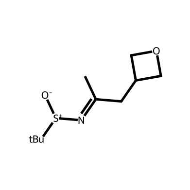 C/C(CC1COC1)=N\[S+]([O-])C(C)(C)C